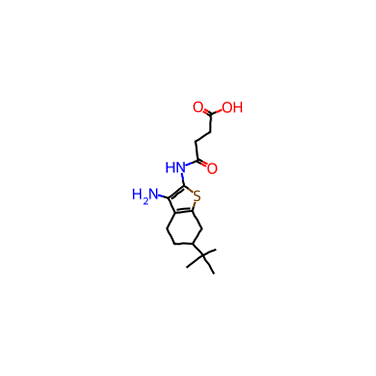 CC(C)(C)C1CCc2c(sc(NC(=O)CCC(=O)O)c2N)C1